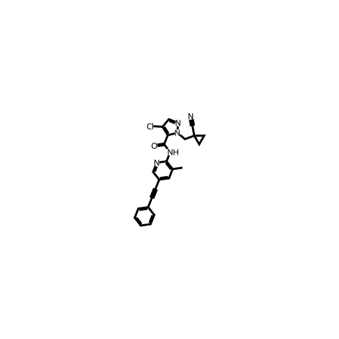 Cc1cc(C#Cc2ccccc2)cnc1NC(=O)c1c(Cl)cnn1CC1(C#N)CC1